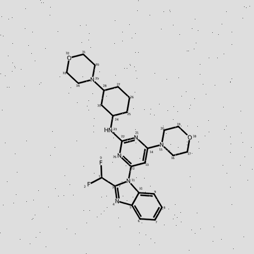 FC(F)c1nc2ccccc2n1-c1cc(N2CCOCC2)nc(NC2CCCC(N3CCOCC3)C2)n1